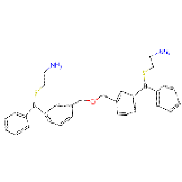 NCCSB(c1ccccc1)c1cccc(COCc2cccc(B(SCCN)c3ccccc3)c2)c1